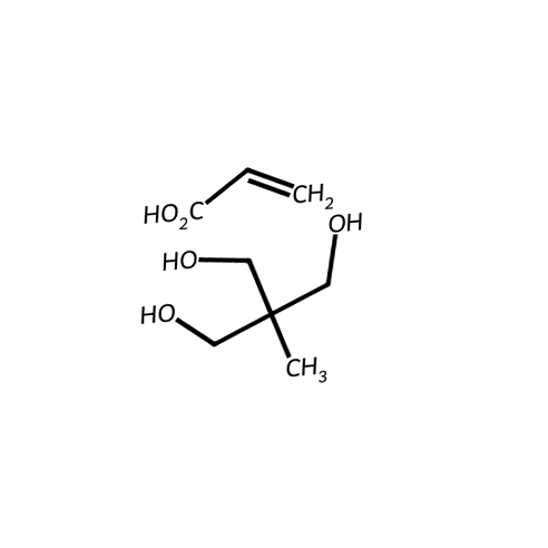 C=CC(=O)O.CC(CO)(CO)CO